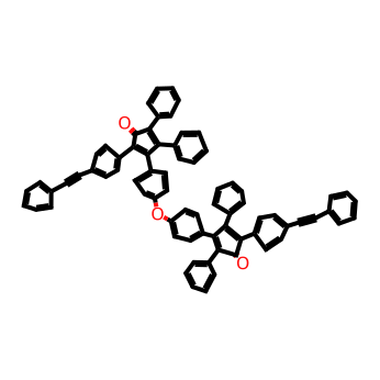 O=C1C(c2ccc(C#Cc3ccccc3)cc2)=C(c2ccccc2)C(c2ccc(Oc3ccc(C4=C(c5ccc(C#Cc6ccccc6)cc5)C(=O)C(c5ccccc5)=C4c4ccccc4)cc3)cc2)=C1c1ccccc1